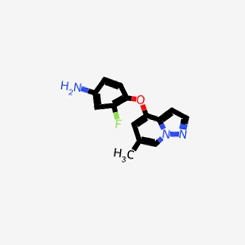 Cc1cc(Oc2ccc(N)cc2F)c2ccnn2c1